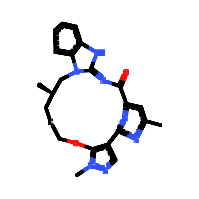 Cc1cc2nc(n1)-c1cnn(C)c1OCCC[C@@H](C)CN1/C(=N/C2=O)Nc2ccccc21